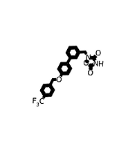 O=c1[nH]c(=O)n(Cc2cccc(-c3ccc(OCc4ccc(C(F)(F)F)cc4)cc3)c2)o1